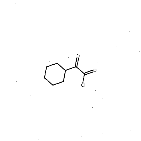 O=C(Cl)C(=O)C1CCCCC1